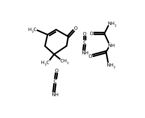 CC1=CC(=O)CC(C)(C)C1.N=C=O.N=C=O.NC(=O)NC(N)=O